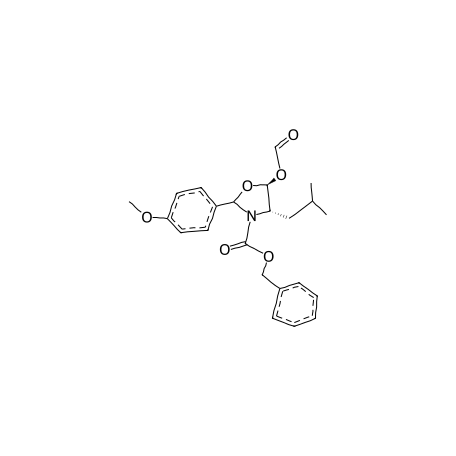 COc1ccc(C2O[C@@H](OC=O)[C@H](CC(C)C)N2C(=O)OCc2ccccc2)cc1